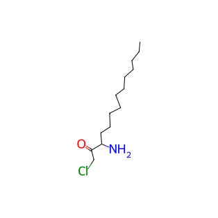 CCCCCCCCCCCC(N)C(=O)CCl